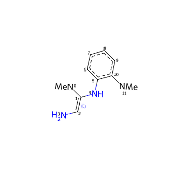 CN/C(=C\N)Nc1ccccc1NC